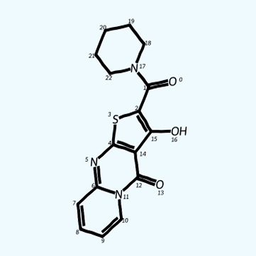 O=C(c1sc2nc3ccccn3c(=O)c2c1O)N1CCCCC1